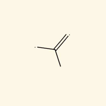 [CH]=C([CH2])C